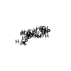 Cc1ncsc1-c1ccc(CNC(=O)[C@@H]2C[C@@H](O)CN2C(=O)[C@@H](NC(=O)COCCN2CCN(CCOc3cc(F)c(C4c5[nH]c6ccccc6c5C[C@@H](C)N4CC(C)(C)F)c(F)c3)CC2)C(C)(C)C)cc1